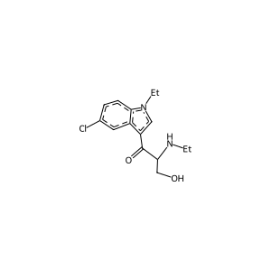 CCNC(CO)C(=O)c1cn(CC)c2ccc(Cl)cc12